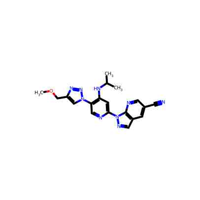 COCc1cn(-c2cnc(-n3ncc4cc(C#N)cnc43)cc2NC(C)C)nn1